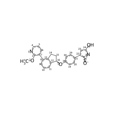 COc1ncccc1-c1cccc2c1CC[C@H]2Oc1ccc(-c2cc(O)n[s+]2[O-])cc1